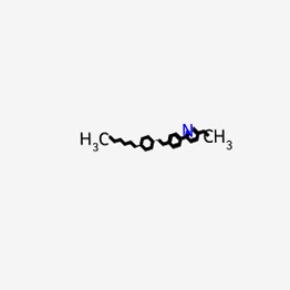 CCCCCCC[C@H]1CC[C@H](CCc2ccc(-c3ccc(CC)cn3)cc2)CC1